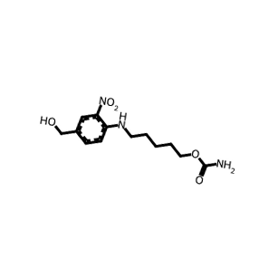 NC(=O)OCCCCCNc1ccc(CO)cc1[N+](=O)[O-]